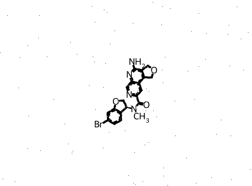 CN(C(=O)c1cc2c3c(c(N)nc2cn1)COC3)[C@@H]1COc2cc(Br)ccc21